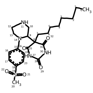 CCCCCCCCC1(C2CNCCN2c2ccc(S(C)(=O)=O)cc2)C(=O)NC(=O)NC1=O